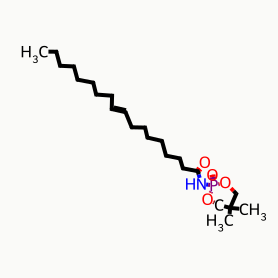 CCCCCCCCC=CCCCCCCCC(=O)NP1(=O)OCC(C)(C)CO1